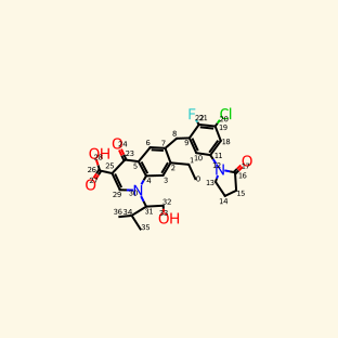 CCc1cc2c(cc1Cc1cc(N3CCCC3=O)cc(Cl)c1F)c(=O)c(C(=O)O)cn2C(CO)C(C)C